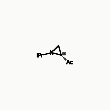 CC(=O)[C@H]1CN1C(C)C